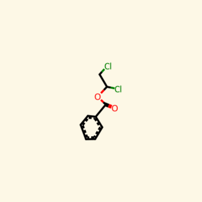 O=C(OC(Cl)CCl)c1ccccc1